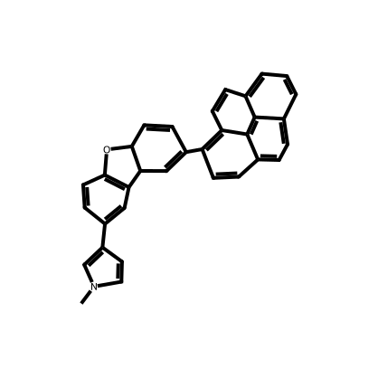 Cn1ccc(-c2ccc3c(c2)C2C=C(c4ccc5ccc6cccc7ccc4c5c67)C=CC2O3)c1